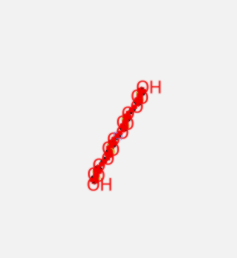 O=S(=O)(c1ccc(OC=CCCOc2ccc(S(=O)(=O)c3ccc(O)cc3)cc2)cc1)c1ccc(OC/C=C/COc2ccc(S(=O)(=O)c3ccc(OC=CCCOc4ccc(S(=O)(=O)c5ccc(O)cc5)cc4)cc3)cc2)cc1